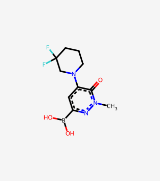 Cn1nc(B(O)O)cc(N2CCCC(F)(F)C2)c1=O